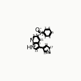 [O-][S+](c1ccccc1)c1cnc2[nH]cc(C3=CCN=C3)c2c1